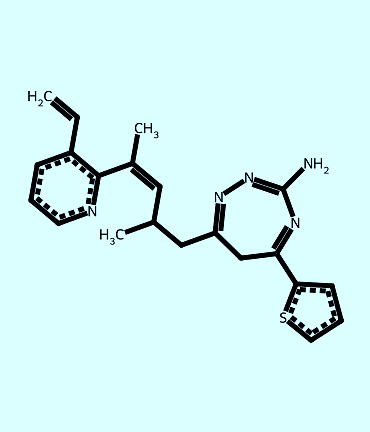 C=Cc1cccnc1/C(C)=C\C(C)CC1=NN=C(N)N=C(c2cccs2)C1